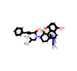 CC(C)CN(C(=O)C#Cc1ccccc1)[C@@H]1CC[C@H]2[C@H]3Cc4c(O)ccc5c4[C@@]2(CCN3C)[C@H]1O5